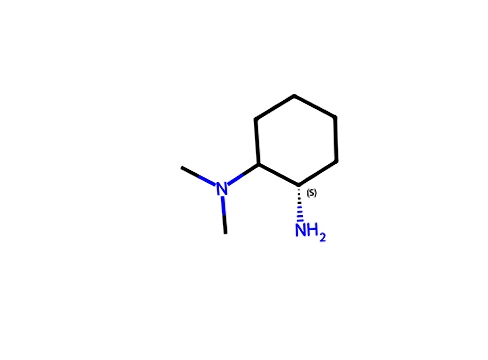 CN(C)C1CCCC[C@@H]1N